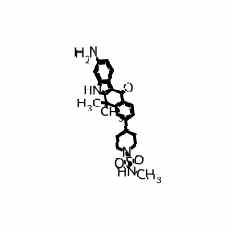 CNS(=O)(=O)N1CCC(c2ccc3c(c2)C(C)(C)c2[nH]c4cc(N)ccc4c2C3=O)CC1